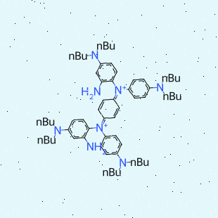 CCCCN(CCCC)c1ccc([N+](=C2C=CC(=[N+](c3ccc(N(CCCC)CCCC)cc3)c3ccc(N(CCCC)CCCC)cc3N)C=C2)c2ccc(N(CCCC)CCCC)cc2N)cc1